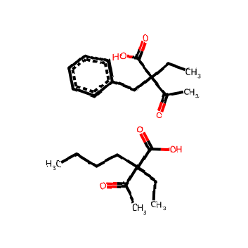 CCC(Cc1ccccc1)(C(C)=O)C(=O)O.CCCCC(CC)(C(C)=O)C(=O)O